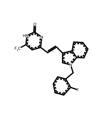 O=c1nc(/C=C/c2cn(Cc3ccccc3F)c3ccccc23)cc(C(F)(F)F)[nH]1